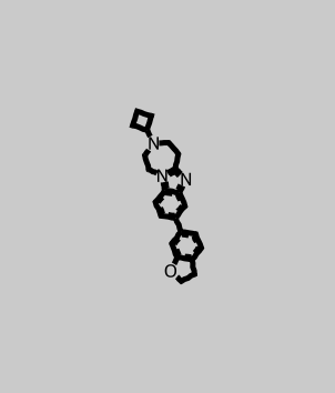 c1cc2c(cc1-c1ccc3c(c1)nc1n3CCN(C3CCC3)CC1)OCC2